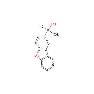 CC(C)(O)c1ccc2oc3ccccc3c2c1